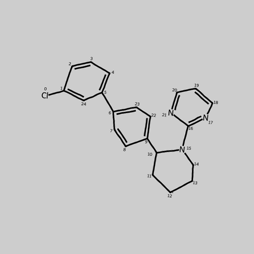 Clc1cccc(-c2ccc(C3C[CH]CCN3c3ncccn3)cc2)c1